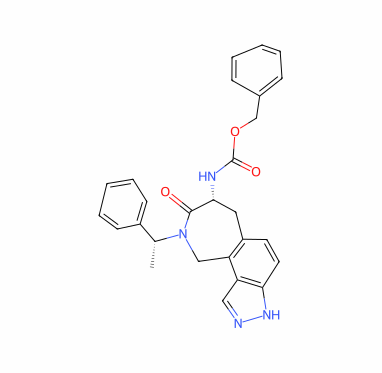 C[C@H](c1ccccc1)N1Cc2c(ccc3[nH]ncc23)C[C@@H](NC(=O)OCc2ccccc2)C1=O